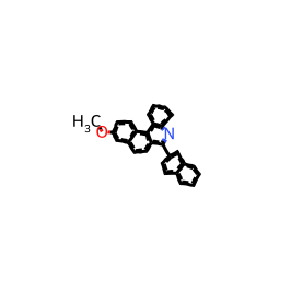 COc1ccc2c(ccc3c(-c4ccc5ccccc5c4)nc4ccccc4c32)c1